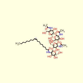 CCCCCCCC/C=C\CCCCCCCC(=O)N[C@H]1[C@H](O[C@H]2C(O)[C@@H](NC(C)=O)[C@H](O[C@H]3[C@H](O)[C@@H](NC(C)=O)[C@H](O[C@H]4C(O)[C@@H](NC(C)=O)[C@H](CO)O[C@H]4CO)O[C@@H]3CO)O[C@H]2CO)O[C@H](CO)[C@@H](O)[C@@H]1O